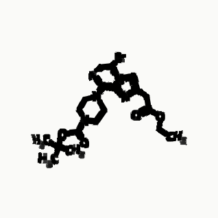 CCOC(=O)Cc1cn2c(Br)cnc(N3CCN(C(=O)OC(C)(C)C)CC3)c2n1